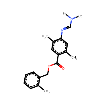 CCN(/C=N/c1cc(C)c(C(=O)OCc2ccccc2C)cc1C)CC